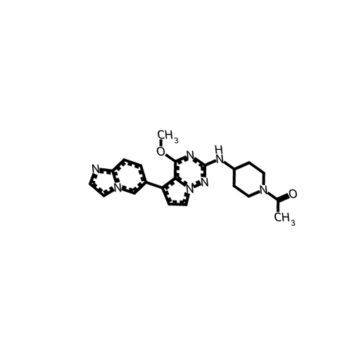 COc1nc(NC2CCN(C(C)=O)CC2)nn2ccc(-c3ccc4nccn4c3)c12